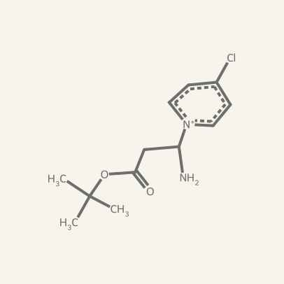 CC(C)(C)OC(=O)CC(N)[n+]1ccc(Cl)cc1